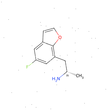 C[C@H](N)Cc1cc(F)cc2ccoc12